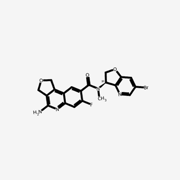 CN(C(=O)c1cc2c3c(c(N)nc2cc1F)COC3)[C@H]1COc2cc(Br)cnc21